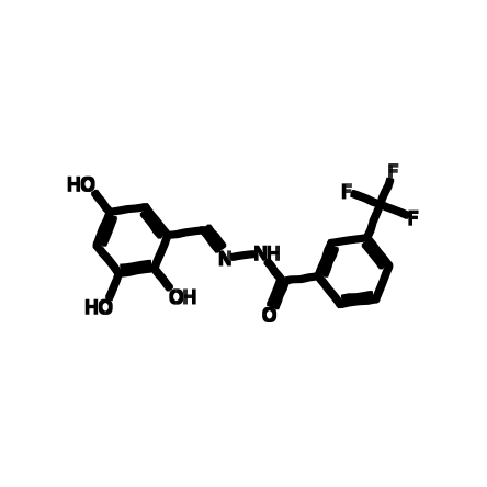 O=C(NN=Cc1cc(O)cc(O)c1O)c1cccc(C(F)(F)F)c1